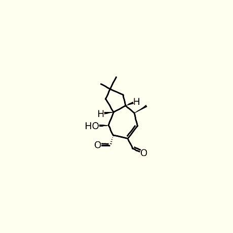 C[C@H]1C=C(C=O)[C@H](C=O)[C@@H](O)[C@@H]2CC(C)(C)C[C@@H]21